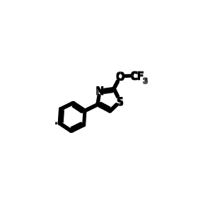 FC(F)(F)Oc1nc(-c2cc[c]cc2)cs1